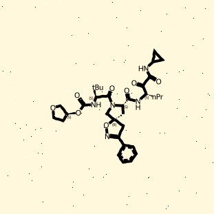 CCC[C@H](NC(=O)[C@@H]1C[C@@]2(CC(c3ccccc3)=NO2)CN1C(=O)[C@@H](NC(=O)O[C@H]1CCOC1)C(C)(C)C)C(=O)C(=O)NC1CC1